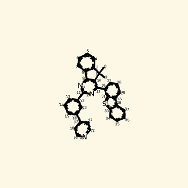 CC1(C)c2ccccc2-c2nc(-c3cccc(-c4ccncc4)c3)nc(-c3cccc4c3sc3ccccc34)c21